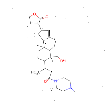 CN1CCN(C(=O)CC(C(=O)O)C2CCC3(C)C4CC(C5=CCOC5=O)C=C4CCC3C2(C)CO)CC1